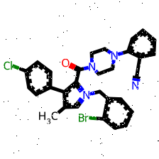 Cc1cn(Cc2ccccc2Br)c(C(=O)N2CCN(c3ccccc3C#N)CC2)c1-c1ccc(Cl)cc1